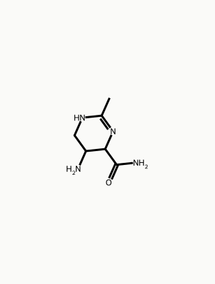 CC1=NC(C(N)=O)C(N)CN1